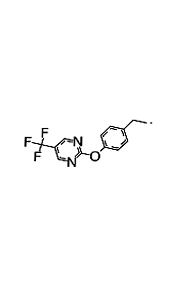 [CH2]Cc1ccc(Oc2ncc(C(F)(F)F)cn2)cc1